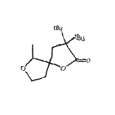 CC1OCCC12CC(C(C)(C)C)(C(C)(C)C)C(=O)O2